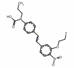 CCCN(C(=O)O)c1ccc(/C=C/c2ccc([N+](=O)[O-])c(OCCF)c2)cc1